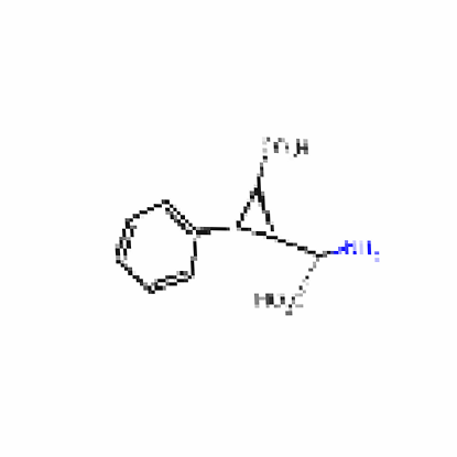 N[C@H](C(=O)O)[C@@H]1C(C(=O)O)[C@@H]1c1ccccc1